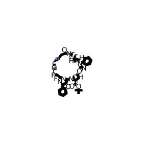 C[C@H]1CN2CC[C@@H]1n1c(nc3ccccc31)O[C@H]1C[C@@H](C(=O)OC(C)(C)C)N(C1)c1nc(nc3c1oc1ccccc13)C(F)(F)COC/C=C/CC2=O